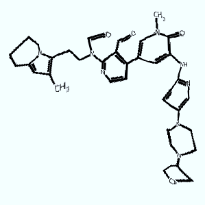 Cc1cc2n(c1CCN(C=O)c1nccc(-c3cc(Nc4ccc(N5CCN(C6COC6)CC5)cn4)c(=O)n(C)c3)c1C=O)CCCC2